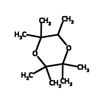 CC1OC(C)(C)C(C)(C)OC1(C)C